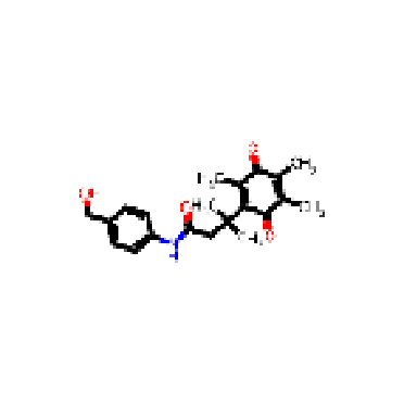 CC1=C(C)C(=O)C(C(C)(C)CC(=O)Nc2ccc(CO)cc2)=C(C)C1=O